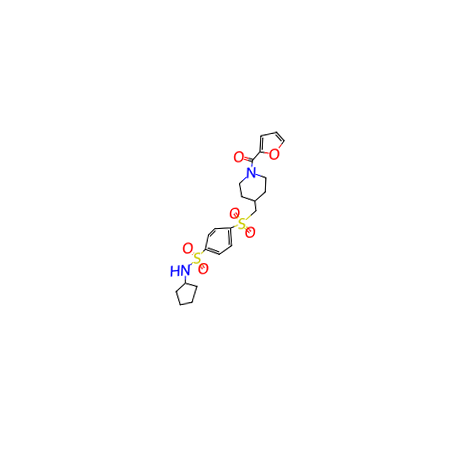 O=C(c1ccco1)N1CCC(CS(=O)(=O)c2ccc(S(=O)(=O)NC3CCCC3)cc2)CC1